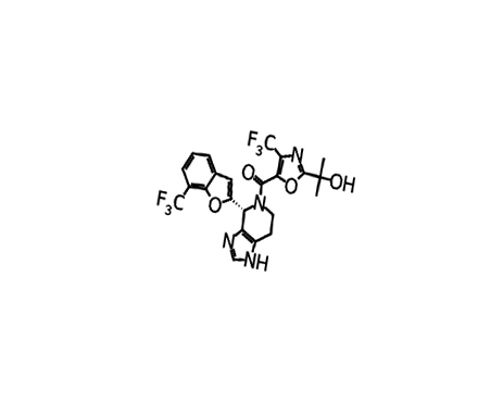 CC(C)(O)c1nc(C(F)(F)F)c(C(=O)N2CCc3[nH]cnc3[C@@H]2c2cc3cccc(C(F)(F)F)c3o2)o1